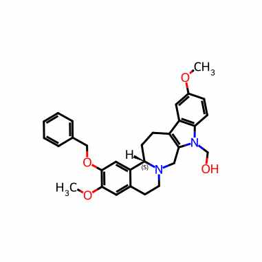 COc1ccc2c(c1)c1c(n2CO)CN2CCc3cc(OC)c(OCc4ccccc4)cc3[C@@H]2CC1